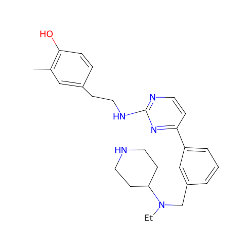 CCN(Cc1cccc(-c2ccnc(NCCc3ccc(O)c(C)c3)n2)c1)C1CCNCC1